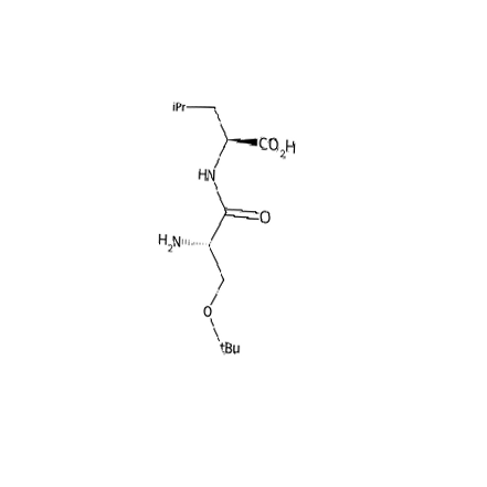 CC(C)C[C@H](NC(=O)[C@@H](N)COC(C)(C)C)C(=O)O